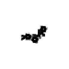 CN(C)c1ccc(Oc2ccccc2NC(=S)NC(=O)c2ccccc2)cc1